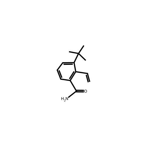 C=Cc1c(C(N)=O)cccc1C(C)(C)C